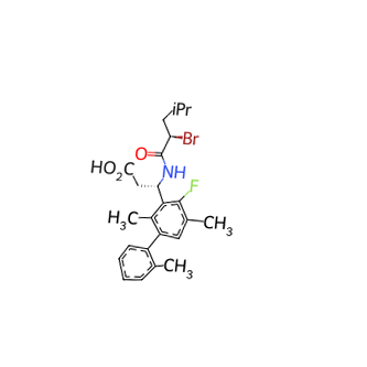 Cc1ccccc1-c1cc(C)c(F)c([C@H](CC(=O)O)NC(=O)[C@H](Br)CC(C)C)c1C